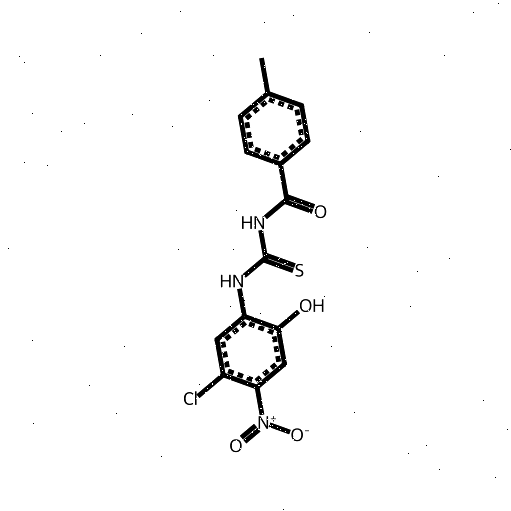 Cc1ccc(C(=O)NC(=S)Nc2cc(Cl)c([N+](=O)[O-])cc2O)cc1